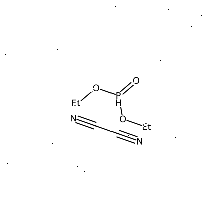 CCO[PH](=O)OCC.N#CC#N